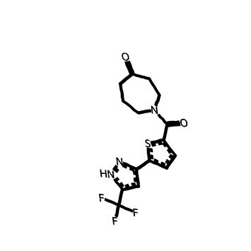 O=C1CCCN(C(=O)c2ccc(-c3cc(C(F)(F)F)[nH]n3)s2)CC1